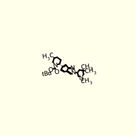 C[C@H]1CC[C@H](c2ccc3cn(C4CN(C)CC(C)(C)C4)nc3c2)N(C(=O)OC(C)(C)C)C1